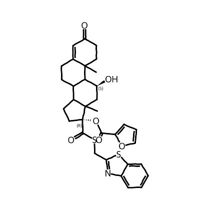 CC12CCC(=O)C=C1CCC1C2[C@@H](O)CC2(C)C1CC[C@]2(OC(=O)c1ccco1)C(=O)SCc1nc2ccccc2s1